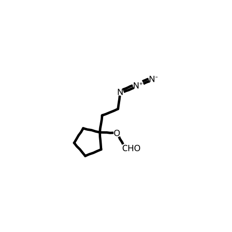 [N-]=[N+]=NCCC1(OC=O)CCCC1